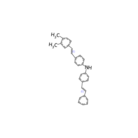 Cc1ccc(/C=C/c2ccc(Nc3ccc(/C=C/c4ccccc4)cc3)cc2)cc1C